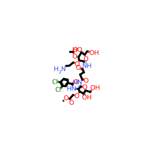 COC(=O)COC1C(NC(=O)c2ccc(Cl)c(Cl)c2)[C@H](NC(=O)CCC(=O)N[C@@H]2OC(CO)[C@H](O)C(OC(C)=O)C2OCCCN)OC(CO)[C@@H]1O